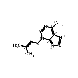 CC(C)=CCn1cnc(N)c2ncnc1-2